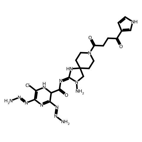 NN=NC1=NC(N=NN)=C(Cl)NC1C(=O)/N=C1/NC2(CCN(C(=O)CCC(=O)c3cc[nH]c3)CC2)CN1N